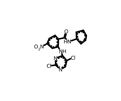 O=C(Nc1ccccc1)c1ccc([N+](=O)[O-])cc1Nc1nc(Cl)ncc1Cl